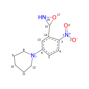 O=[N+]([O-])c1ccc(N2CCCCC2)cc1C1NO1